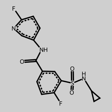 O=C(Nc1ccc(F)nc1)c1ccc(F)c(S(=O)(=O)NC2CC2)c1